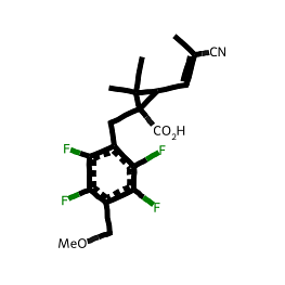 COCc1c(F)c(F)c(CC2(C(=O)O)C(C=C(C)C#N)C2(C)C)c(F)c1F